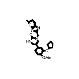 COc1ccc(C2=CN(Cc3nc4ccc(C)cc4o3)C(=O)NC2)cc1OC1CCCC1